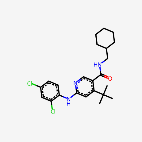 CC(C)(C)c1cc(Nc2ccc(Cl)cc2Cl)ncc1C(=O)NCC1CCCCC1